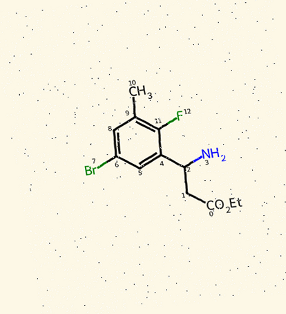 CCOC(=O)CC(N)c1cc(Br)cc(C)c1F